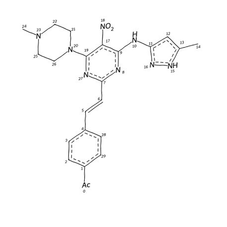 CC(=O)c1ccc(/C=C/c2nc(Nc3cc(C)[nH]n3)c([N+](=O)[O-])c(N3CCN(C)CC3)n2)cc1